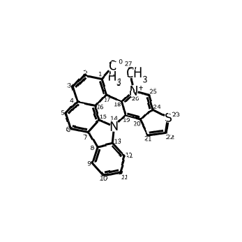 Cc1ccc2ccc3c4ccccc4n4c3c2c1c1c4c2ccsc2c[n+]1C